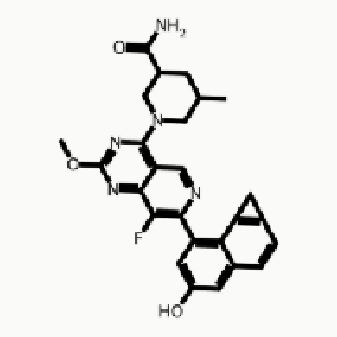 COc1nc(N2CC(C)CC(C(N)=O)C2)c2cnc(-c3cc(O)cc4ccc5c(c34)C5)c(F)c2n1